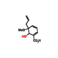 C=CCC1(OC)C=CC=C(C(=O)O)C1O